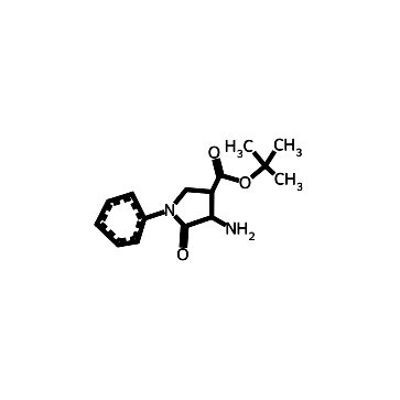 CC(C)(C)OC(=O)C1CN(c2ccccc2)C(=O)C1N